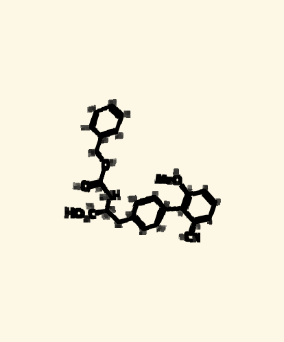 COc1cccc(C#N)c1-c1ccc(C[C@H](NC(=O)OCc2ccccc2)C(=O)O)cc1